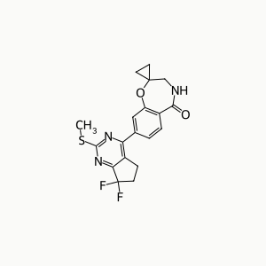 CSc1nc(-c2ccc3c(c2)OC2(CC2)CNC3=O)c2c(n1)C(F)(F)CC2